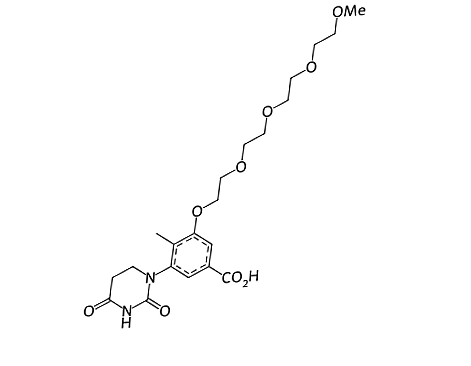 COCCOCCOCCOCCOc1cc(C(=O)O)cc(N2CCC(=O)NC2=O)c1C